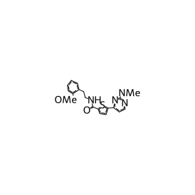 CNc1nccc(-c2ccc(C(=O)NCCc3ccccc3OC)s2)n1